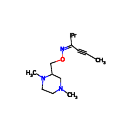 CC#C/C(=N\OCC1CN(C)CCN1C)C(C)C